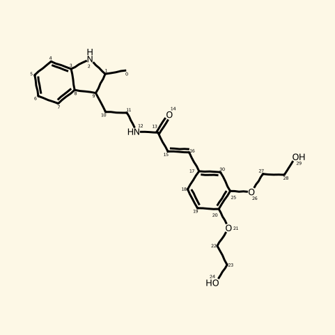 CC1Nc2ccccc2C1CCNC(=O)/C=C/c1ccc(OCCO)c(OCCO)c1